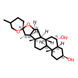 CC1CC[C@@]2(OC1)O[C@H]1C[C@H]3[C@@H]4C[C@H](O)[C@H]5C[C@@H](O)CC[C@]5(C)[C@H]4CC[C@]3(C)[C@H]1[C@@H]2C